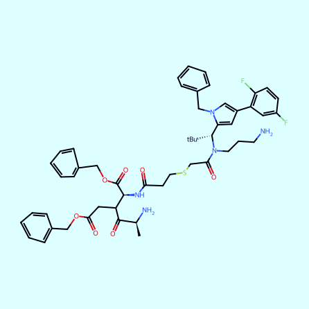 C[C@H](N)C(=O)C(CC(=O)OCc1ccccc1)[C@H](NC(=O)CCSCC(=O)N(CCCN)[C@@H](c1cc(-c2cc(F)ccc2F)cn1Cc1ccccc1)C(C)(C)C)C(=O)OCc1ccccc1